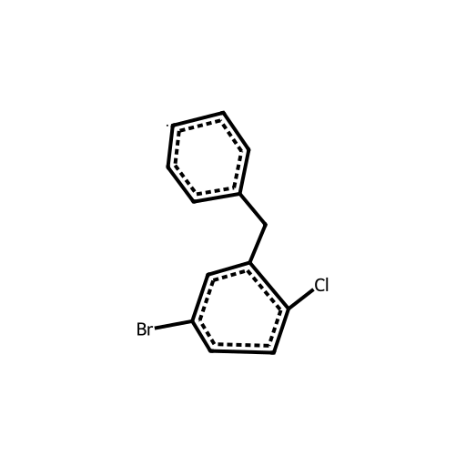 Clc1ccc(Br)cc1Cc1cc[c]cc1